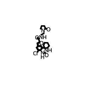 O=C1Nc2c(Cl)cc3cc(C(=O)NCCN4CCCC4=O)oc3c2C2(CCCCC2)N1